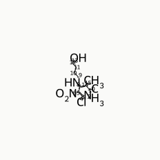 Cc1nc(Cl)c([N+](=O)[O-])c(NCCCCO)c1C